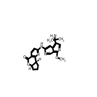 COc1ncc(C(C)(C)N)c2cc(Nc3ccc4c(n3)[C@@H]3CCC[C@@H]3OC4=O)ncc12